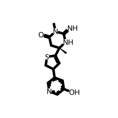 CN1C(=N)N[C@](C)(C2=CC(c3cncc(O)c3)CS2)CC1=O